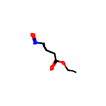 CCOC(=O)CCCN=O